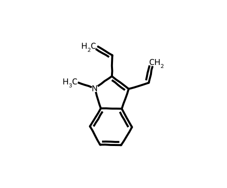 C=Cc1c(C=C)n(C)c2ccccc12